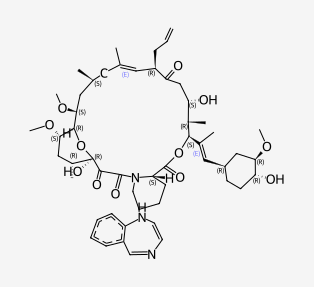 C1=CNc2ccccc2C=N1.C=CC[C@@H]1/C=C(\C)C[C@H](C)C[C@H](OC)[C@H]2O[C@@](O)(C(=O)C(=O)N3CCCC[C@H]3C(=O)O[C@H](/C(C)=C/[C@@H]3CC[C@@H](O)[C@H](OC)C3)[C@H](C)[C@@H](O)CC1=O)[C@H](C)C[C@@H]2OC